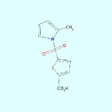 Cc1cccn1S(=O)(=O)c1ccc(C(=O)O)s1